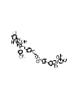 O=C1CCC(N2Cc3cc(N4CCN(C(=O)COCCOc5ccc(CCc6c(-c7ccc(C(F)(F)F)cc7)nn(-c7nc8cc(Cl)ccc8[nH]7)c6O)cc5)CC4)ccc3C2=O)C(=O)N1